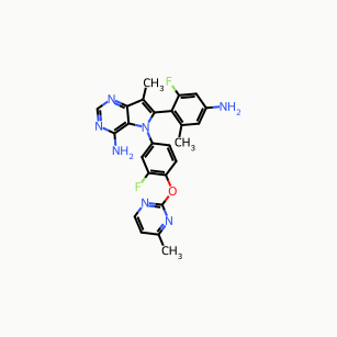 Cc1ccnc(Oc2ccc(-n3c(-c4c(C)cc(N)cc4F)c(C)c4ncnc(N)c43)cc2F)n1